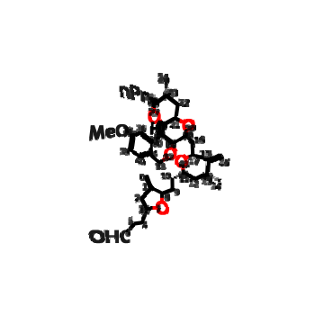 C=C1C[C@H](CCC=O)OC1CC[C@H]1C[C@@H](C)C(=C)C(C[C@@H]2OC3C[C@@H](C)[C@@H](CCC)O[C@H]3[C@H](C)[C@H]2OCc2ccc(OC)cc2)O1